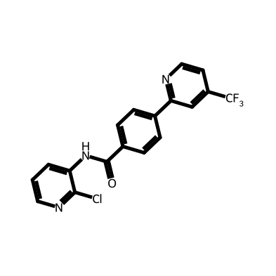 O=C(Nc1cccnc1Cl)c1ccc(-c2cc(C(F)(F)F)ccn2)cc1